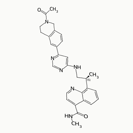 CNC(=O)c1ccnc2c([C@H](C)CNc3cc(-c4ccc5c(c4)CCN(C(C)=O)C5)ncn3)cccc12